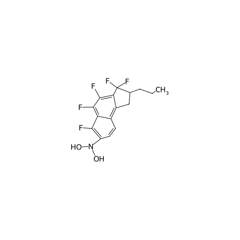 CCCC1Cc2c(c(F)c(F)c3c(F)c(N(O)O)ccc23)C1(F)F